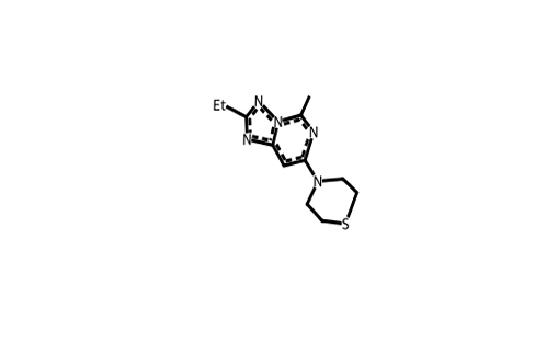 CCc1nc2cc(N3CCSCC3)nc(C)n2n1